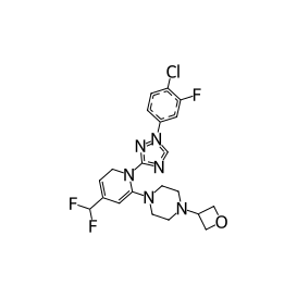 Fc1cc(-n2cnc(N3CC=C(C(F)F)C=C3N3CCN(C4COC4)CC3)n2)ccc1Cl